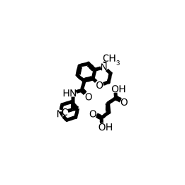 CN1CCOc2c(C(=O)NC3CN4CCC3CC4)cccc21.O=C(O)C=CC(=O)O